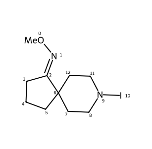 CO/N=C1\CCCC12CCN(I)CC2